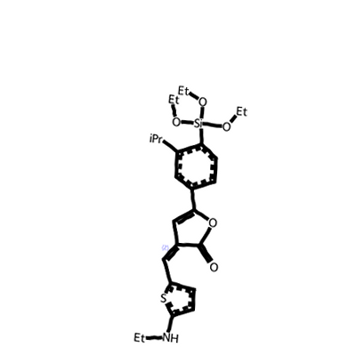 CCNc1ccc(/C=C2/C=C(c3ccc([Si](OCC)(OCC)OCC)c(C(C)C)c3)OC2=O)s1